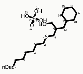 CCCCCCCCCCCCCCCCSCC(CO)CC1CCCCC1.O=P(O)(O)O